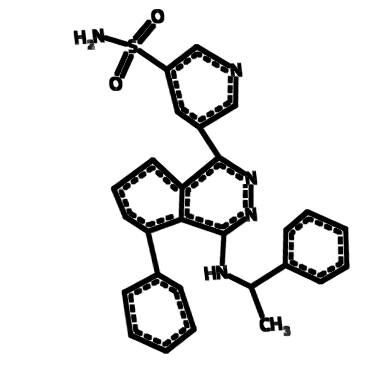 CC(Nc1nnc(-c2cncc(S(N)(=O)=O)c2)c2cccc(-c3ccccc3)c12)c1ccccc1